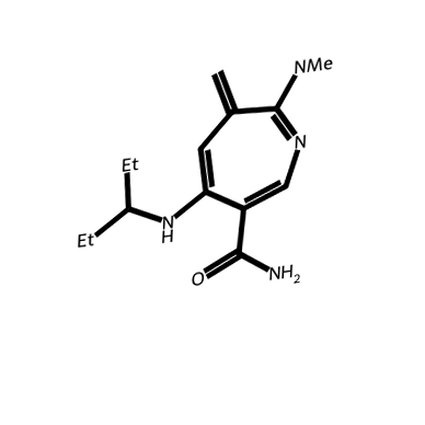 C=C1C=C(NC(CC)CC)C(C(N)=O)=CN=C1NC